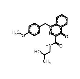 COc1ccc(Cn2nc(C(=O)NCC(C)O)c(=O)c3ccccc32)cc1